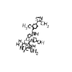 Cc1cc(-c2scnc2C)ccc1CNC(=O)[C@@H]1C[C@@H](O)CN1C(=O)[C@@H](NC(C)C)C(C)(C)C